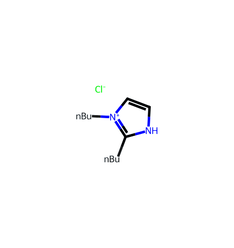 CCCCc1[nH]cc[n+]1CCCC.[Cl-]